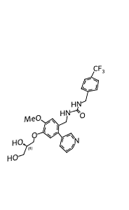 COc1cc(CNC(=O)NCc2ccc(C(F)(F)F)cc2)c(-c2cccnc2)cc1OC[C@H](O)CO